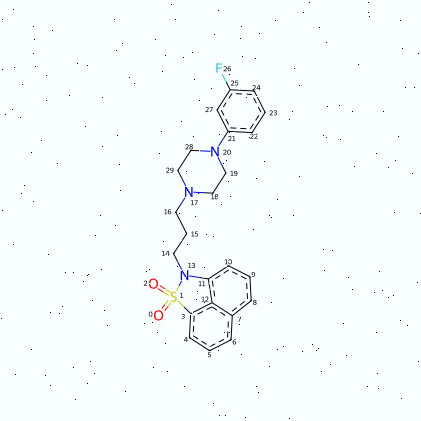 O=S1(=O)c2cccc3cccc(c23)N1CCCN1CCN(c2cccc(F)c2)CC1